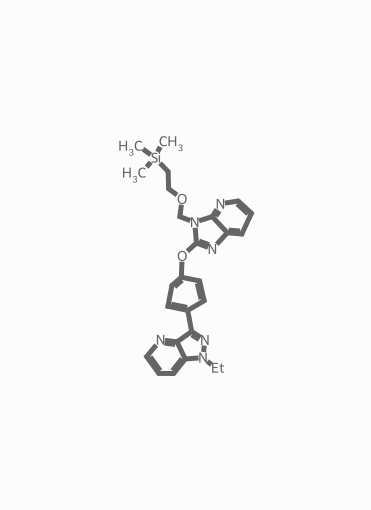 CCn1nc(-c2ccc(Oc3nc4cccnc4n3COCC[Si](C)(C)C)cc2)c2ncccc21